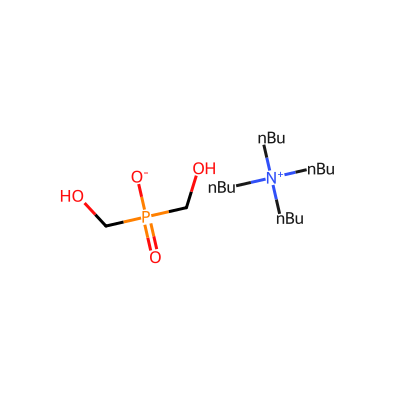 CCCC[N+](CCCC)(CCCC)CCCC.O=P([O-])(CO)CO